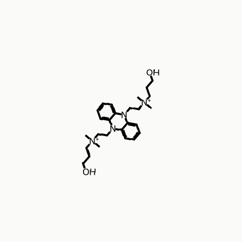 C[N+](C)(CCCO)CCN1c2ccccc2N(CC[N+](C)(C)CCCO)c2ccccc21